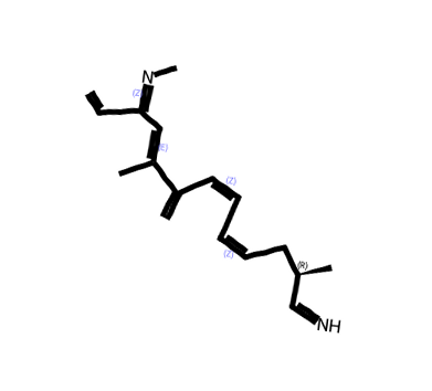 C=CC(/C=C(\C)C(=C)/C=C\C=C/C[C@@H](C)C=N)=N/C